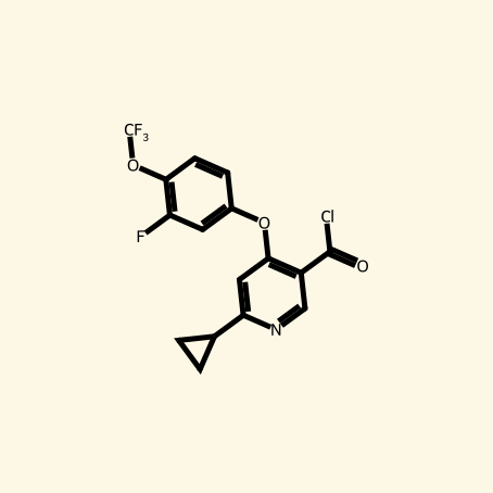 O=C(Cl)c1cnc(C2CC2)cc1Oc1ccc(OC(F)(F)F)c(F)c1